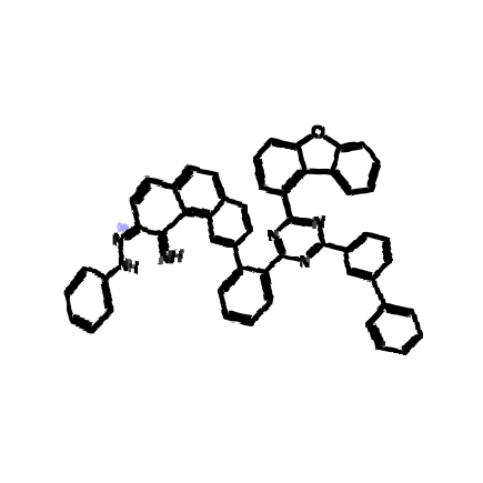 N=C1/C(=N\Nc2ccccc2)C=Cc2ccc3ccc(-c4ccccc4-c4nc(-c5cccc(-c6ccccc6)c5)nc(-c5cccc6oc7ccccc7c56)n4)cc3c21